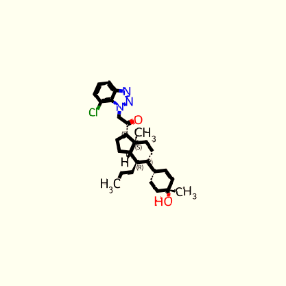 CCC[C@H]1[C@@H]2CC[C@H](C(=O)Cn3nnc4cccc(Cl)c43)[C@@]2(C)CC[C@@H]1[C@H]1CC[C@@](C)(O)CC1